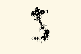 Cc1sc2c(c1C)C(c1ccc(Cl)cc1)=N[C@@H](CC(=O)NCCCCNC(=O)CNc1cccc3c1CN(C(CCC=O)C(N)=O)C3=O)c1nnc(C)n1-2